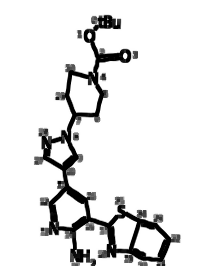 CC(C)(C)OC(=O)N1CCC(n2cc(-c3cnc(N)c(-c4nc5ccccc5s4)c3)cn2)CC1